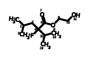 CC(C)CC(F)(C(=O)OCCO)C(C)C